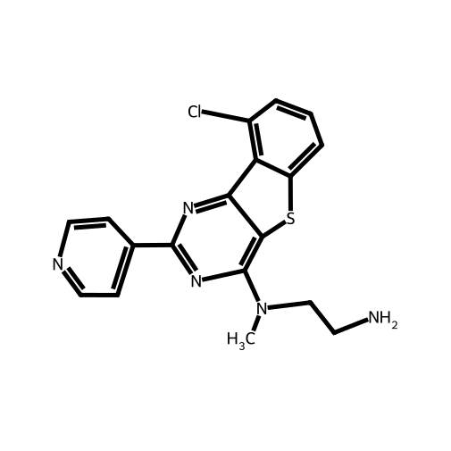 CN(CCN)c1nc(-c2ccncc2)nc2c1sc1cccc(Cl)c12